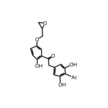 CC(=O)c1c(O)cc(CC(=O)c2cc(OCC3CO3)ccc2O)cc1O